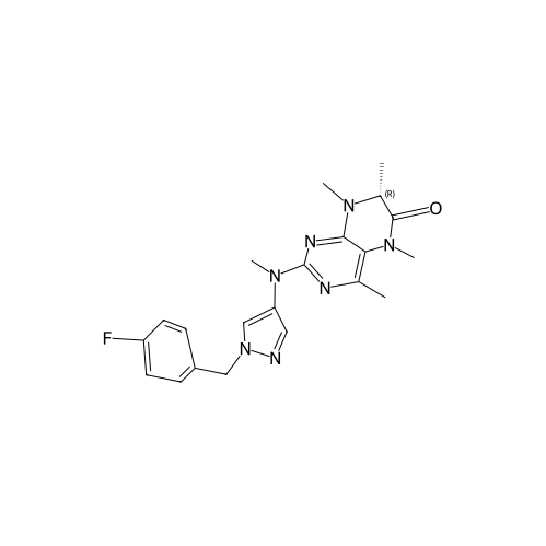 Cc1nc(N(C)c2cnn(Cc3ccc(F)cc3)c2)nc2c1N(C)C(=O)[C@@H](C)N2C